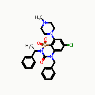 C[C@@H](c1ccccc1)N1C(=O)N(Cc2ccccc2)c2cc(Cl)cc(N3CCN(C)CC3)c2S1(=O)=O